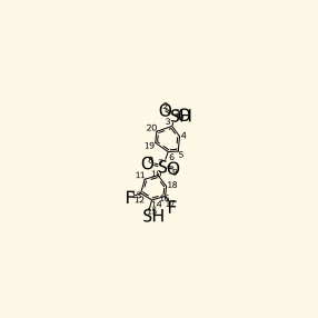 O=[SH](=O)c1ccc(S(=O)(=O)c2cc(F)c(S)c(F)c2)cc1